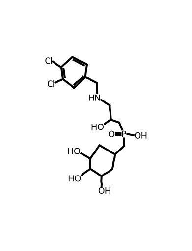 O=P(O)(CC(O)CNCc1ccc(Cl)c(Cl)c1)CC1CC(O)C(O)C(O)C1